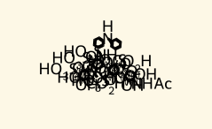 CC(=O)N[C@@H]1[C@@H](O)[C@H](O[C@@H]2O[C@H](C(=O)O)[C@@H](O[C@@H]3O[C@H](CO)[C@@H](O[C@H]4O[C@@H](C(=O)O)[C@H](O)[C@@H](O)[C@@H]4OS(=O)(=O)O)[C@H](OS(=O)(=O)O)[C@H]3NS(=O)(=O)O)[C@H](O)[C@H]2OS(=O)(=O)O)[C@H](COS(=O)(=O)O)O[C@H]1O.c1ccc(Nc2ccccc2)cc1